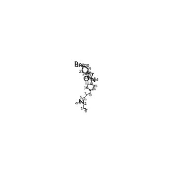 C=CCN(C)CCCC[C@H]1CC[C@H](N(C)C(=O)Oc2ccc(Br)cc2)CC1